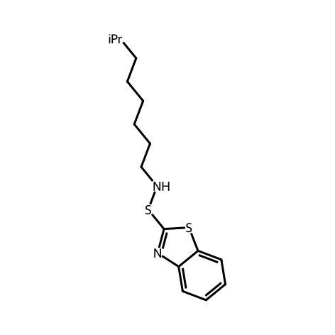 CC(C)CCCCCCNSc1nc2ccccc2s1